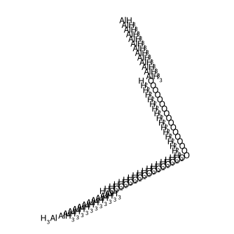 O.O.O.O.O.O.O.O.O.O.O.O.O.O.O.O.O.O.O.O.O.O.O.O.O.O.O.O.O.O.O.O.O.[AlH3].[AlH3].[AlH3].[AlH3].[AlH3].[AlH3].[AlH3].[AlH3].[AlH3].[AlH3].[AlH3].[AlH3].[AlH3].[AlH3].[AlH3].[AlH3].[AlH3].[AlH3].[AlH3].[AlH3].[AlH3].[AlH3].[AlH3].[AlH3].[AlH3]